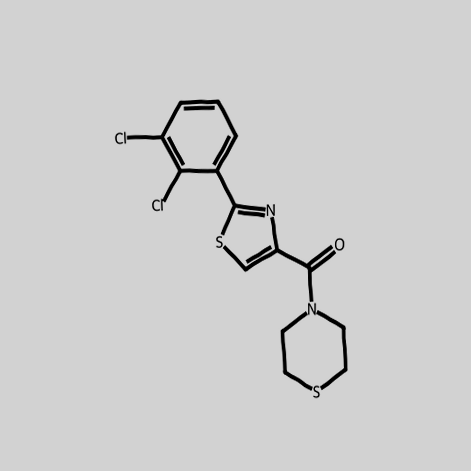 O=C(c1csc(-c2cccc(Cl)c2Cl)n1)N1CCSCC1